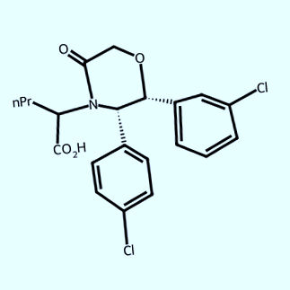 CCCC(C(=O)O)N1C(=O)CO[C@H](c2cccc(Cl)c2)[C@@H]1c1ccc(Cl)cc1